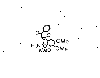 COc1cc(C23Oc4ccccc4C(=O)C2C3C(N)=O)cc(OC)c1OC